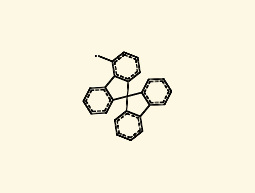 [CH2]c1cccc2c1-c1ccccc1C21c2ccccc2-c2ccccc21